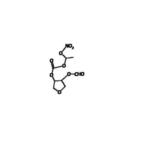 CC(OC(=O)OC1COCC1OC=O)O[N+](=O)[O-]